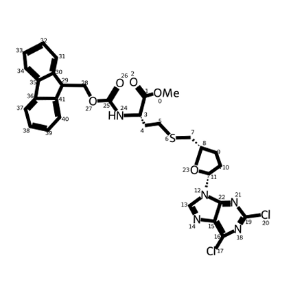 COC(=O)[C@H](CCSC[C@@H]1[CH][CH][C@H](n2cnc3c(Cl)nc(Cl)nc32)O1)NC(=O)OCC1c2ccccc2-c2ccccc21